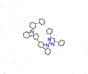 c1ccc(-c2cccc(-n3c4ccccc4c4cc(-c5ccc6c7ccccc7n(-c7nc(-c8ccccc8)cc(-c8ccccc8)n7)c6c5)ccc43)c2)cc1